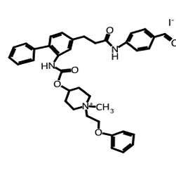 C[N+]1(CCOc2ccccc2)CCC(OC(=O)Nc2cc(CCC(=O)Nc3ccc(C=O)cc3)ccc2-c2ccccc2)CC1.[I-]